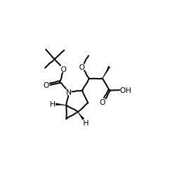 COC(C1C[C@@H]2C[C@@H]2N1C(=O)OC(C)(C)C)[C@@H](C)C(=O)O